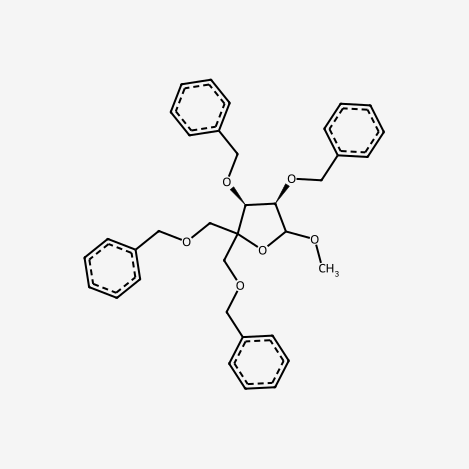 COC1OC(COCc2ccccc2)(COCc2ccccc2)[C@@H](OCc2ccccc2)[C@H]1OCc1ccccc1